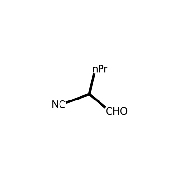 CCCC(C#N)C=O